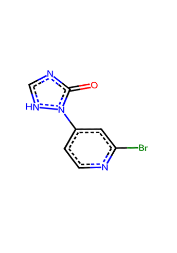 O=c1nc[nH]n1-c1ccnc(Br)c1